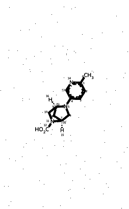 Cc1ccc(N2C[C@@H]3C[C@H]2CN3C(=O)O)cn1